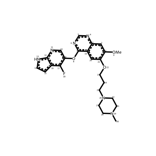 COc1cc2ncnc(Oc3cnc4[nH]ccc4c3F)c2cc1OCCCN1CCN(C)CC1